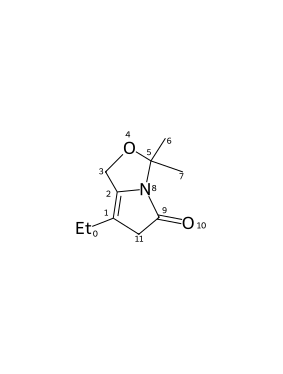 CCC1=C2COC(C)(C)N2C(=O)C1